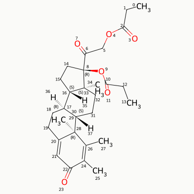 CCC(=O)OCC(=O)[C@@]1(OC(=O)CC)CC[C@H]2[C@@H]3CCC4=CC(=O)C(C)=C(C)[C@]4(C)[C@H]3CC[C@@]21C